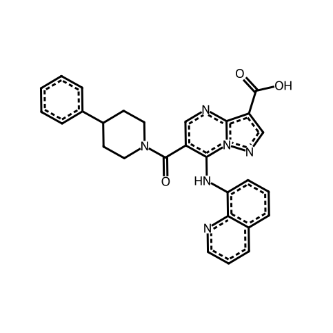 O=C(O)c1cnn2c(Nc3cccc4cccnc34)c(C(=O)N3CCC(c4ccccc4)CC3)cnc12